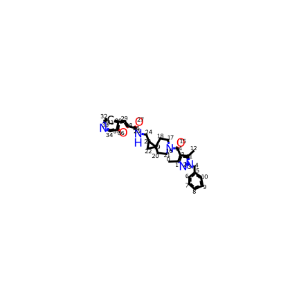 Cc1nn(Cc2ccccc2)c(C)c1C(=O)N1CCC2(CC1)CC2CNC(=O)c1cc2ccncc2o1